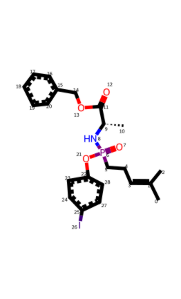 CC(C)=CCCP(=O)(N[C@@H](C)C(=O)OCc1ccccc1)Oc1ccc(I)cc1